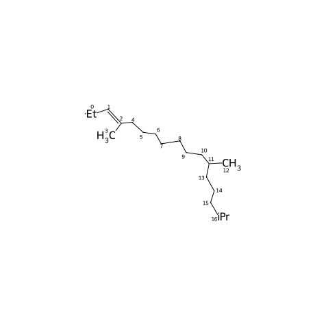 C[CH]/C=C(\C)CCCCCCCC(C)CCCC(C)C